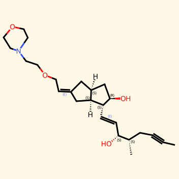 CC#CC[C@H](C)[C@H](O)/C=C/[C@@H]1[C@H]2C/C(=C/COCCN3CCOCC3)C[C@H]2C[C@H]1O